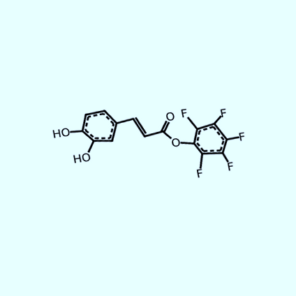 O=C(C=Cc1ccc(O)c(O)c1)Oc1c(F)c(F)c(F)c(F)c1F